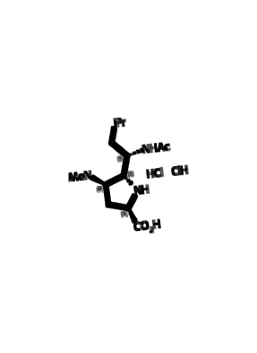 CN[C@@H]1C[C@H](C(=O)O)N[C@H]1[C@H](CC(C)C)NC(C)=O.Cl.Cl